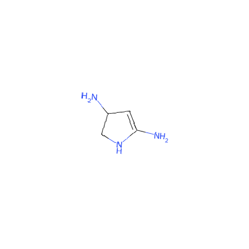 NC1=CC(N)CN1